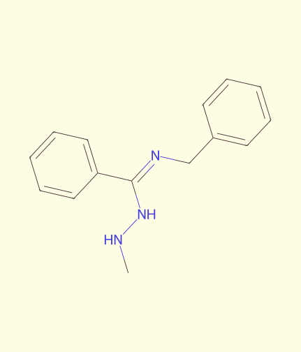 CNN/C(=N\Cc1ccccc1)c1ccccc1